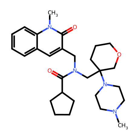 CN1CCN(C2(CN(Cc3cc4ccccc4n(C)c3=O)C(=O)C3CCCC3)CCCOC2)CC1